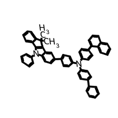 CC1(C)c2ccccc2-c2c1c1cc(-c3ccc(N(c4ccc(-c5ccccc5)cc4)c4ccc(-c5cccc6ccccc56)cc4)cc3)ccc1n2-c1ccccc1